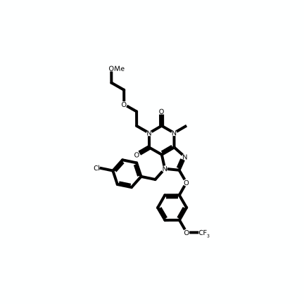 COCCOCCn1c(=O)c2c(nc(Oc3cccc(OC(F)(F)F)c3)n2Cc2ccc(Cl)cc2)n(C)c1=O